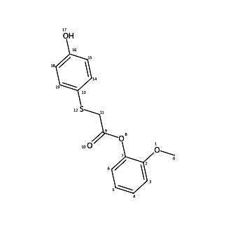 COc1ccccc1OC(=O)CSc1ccc(O)cc1